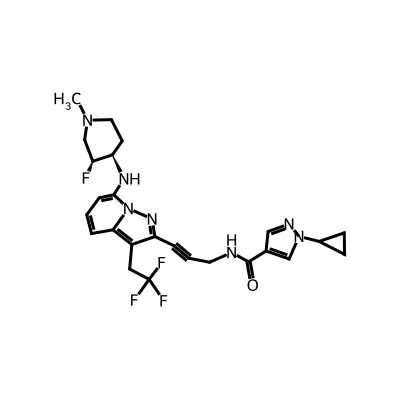 CN1CC[C@@H](Nc2cccc3c(CC(F)(F)F)c(C#CCNC(=O)c4cnn(C5CC5)c4)nn23)[C@@H](F)C1